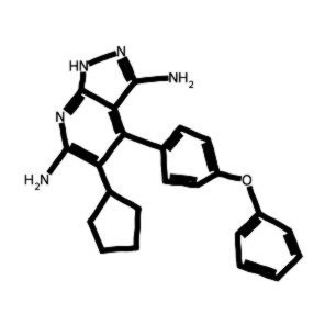 Nc1nc2[nH]nc(N)c2c(-c2ccc(Oc3ccccc3)cc2)c1C1CCCC1